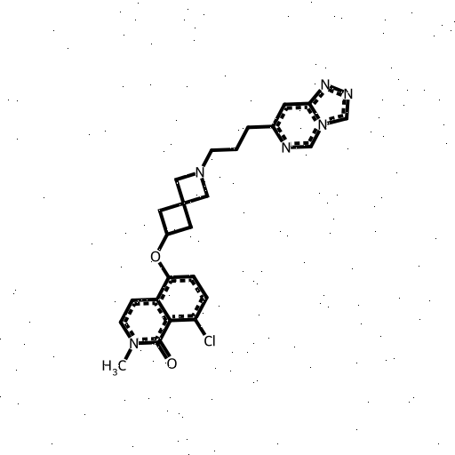 Cn1ccc2c(OC3CC4(C3)CN(CCCc3cc5nncn5cn3)C4)ccc(Cl)c2c1=O